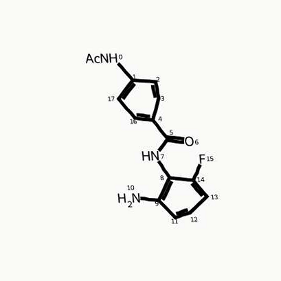 CC(=O)Nc1ccc(C(=O)Nc2c(N)cccc2F)cc1